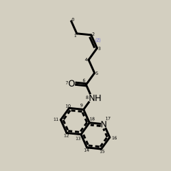 CC/C=C\CCC(=O)Nc1cccc2cccnc12